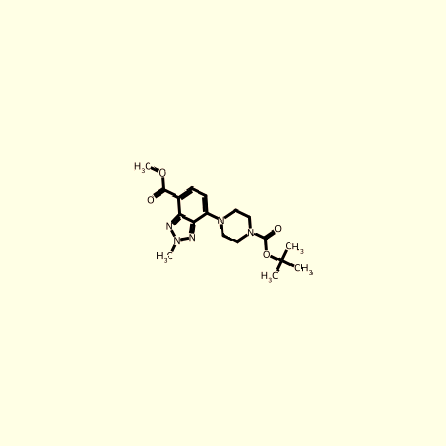 COC(=O)c1ccc(N2CCN(C(=O)OC(C)(C)C)CC2)c2nn(C)nc12